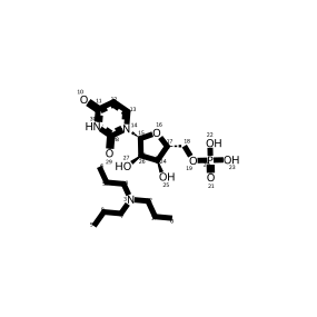 CCCN(CCC)CCC.O=c1ccn([C@@H]2O[C@H](COP(=O)(O)O)[C@@H](O)[C@H]2O)c(=O)[nH]1